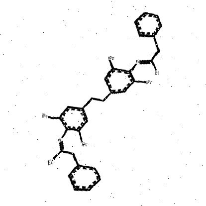 CCC(Cc1ccccc1)=Nc1c(C(C)C)cc(CCc2cc(C(C)C)c(N=C(CC)Cc3ccccc3)c(C(C)C)c2)cc1C(C)C